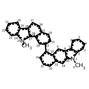 Cn1c2ccccc2c2cc3c(-c4ccc5ccc6c7ccccc7n(C)c6c5c4)cccc3cc21